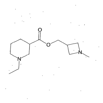 CCN1CCCC(C(=O)OCC2CN(C)C2)C1